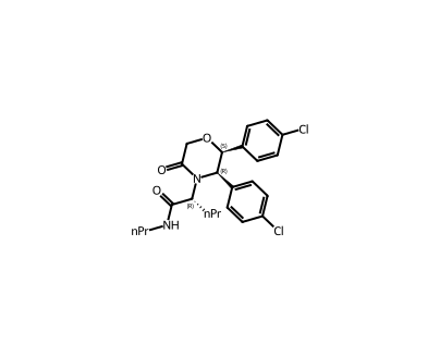 CCCNC(=O)[C@@H](CCC)N1C(=O)CO[C@@H](c2ccc(Cl)cc2)[C@H]1c1ccc(Cl)cc1